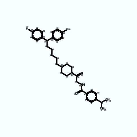 CC(C)c1ccc(C(=O)NCC(=O)N2CCN(CCCCCC(c3ccc(F)cc3)c3ccc(F)cc3)CC2)cc1